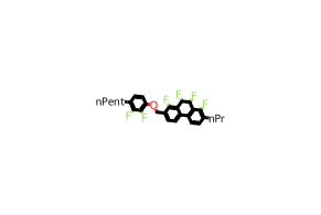 CCCCCc1ccc(OCc2ccc3c(c2F)C(F)C(F)c2c-3ccc(CCC)c2F)c(F)c1F